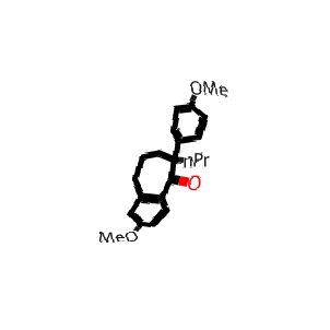 CCCC1(c2ccc(OC)cc2)CCCc2cc(OC)ccc2C1=O